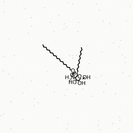 CCCCCCCCCCCCCCCCCCOC(=O)N(CCCCCCCCCCCC)[C@@H]1O[C@H](CO)[C@H](O)[C@H](O)[C@H]1N